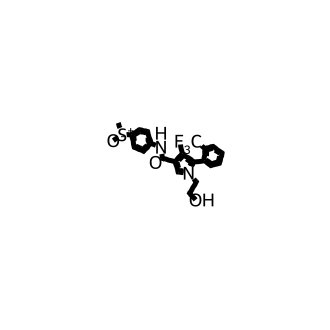 Cc1c(C(=O)Nc2ccc([S+](C)[O-])cc2)cn(CCO)c1-c1ccccc1C(F)(F)F